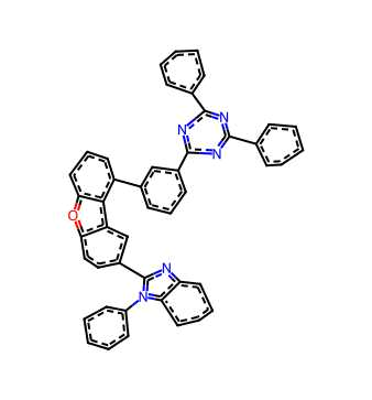 c1ccc(-c2nc(-c3ccccc3)nc(-c3cccc(-c4cccc5oc6ccc(-c7nc8ccccc8n7-c7ccccc7)cc6c45)c3)n2)cc1